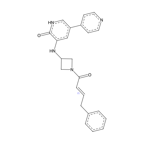 O=C(/C=C/Cc1ccccc1)N1CC(Nc2cc(-c3ccncc3)c[nH]c2=O)C1